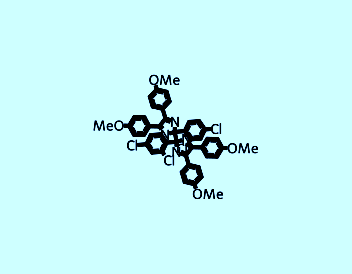 COc1ccc(C2=NC(c3ccc(Cl)cc3Cl)(C3(c4ccc(Cl)cc4Cl)N=C(c4ccc(OC)cc4)C(c4ccc(OC)cc4)=N3)N=C2c2ccc(OC)cc2)cc1